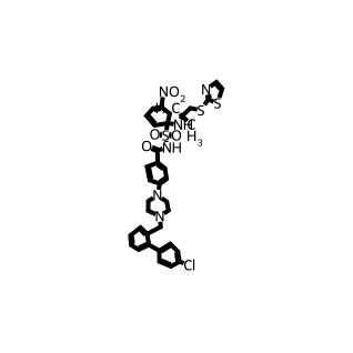 CC(C)(CSc1nccs1)NC1(S(=O)(=O)NC(=O)c2ccc(N3CCN(Cc4ccccc4-c4ccc(Cl)cc4)CC3)cc2)C=CC=C([N+](=O)[O-])C1